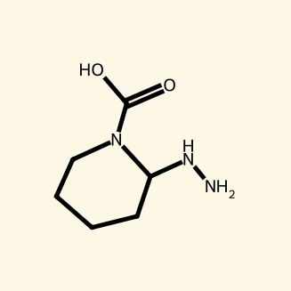 NNC1CCCCN1C(=O)O